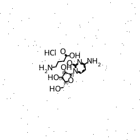 Cl.NCCCC(=O)O.Nc1ccn([C@@H]2O[C@H](CO)[C@@H](O)[C@H]2O)c(=O)n1